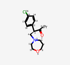 CC(C)C(=O)[C@@H](CN1CCCOCC1)c1ccc(Cl)cc1